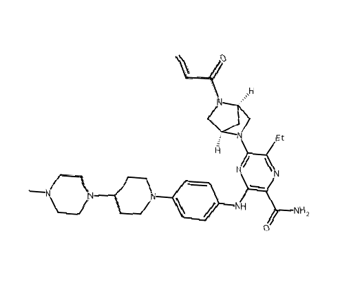 C=CC(=O)N1C[C@H]2C[C@@H]1CN2c1nc(Nc2ccc(N3CCC(N4CCN(C)CC4)CC3)cc2)c(C(N)=O)nc1CC